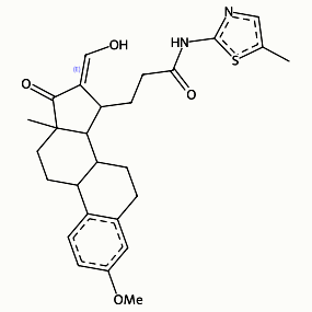 COc1ccc2c(c1)CCC1C2CCC2(C)C(=O)/C(=C/O)C(CCC(=O)Nc3ncc(C)s3)C12